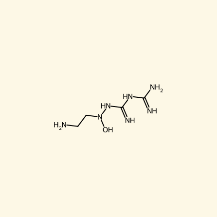 N=C(N)NC(=N)NN(O)CCN